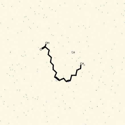 CCCCC/C=C\C/C=C\CCCCCCCC(=O)O.[Ce]